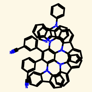 N#Cc1cccc(-c2c(-c3cccc(C#N)c3)c(-n3c4ccccc4c4ccccc43)c(-n3c4ccccc4c4ccc5c(c6ncccc6n5-c5ccccc5)c43)c(-n3c4ccccc4c4ccccc43)c2-n2c3ccccc3c3ccccc32)c1